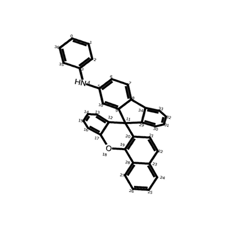 c1ccc(Nc2ccc3c(c2)C2(c4ccccc4Oc4c2ccc2ccccc42)c2ccccc2-3)cc1